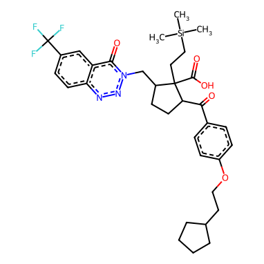 C[Si](C)(C)CCC1(C(=O)O)C(Cn2nnc3ccc(C(F)(F)F)cc3c2=O)CCC1C(=O)c1ccc(OCCC2CCCC2)cc1